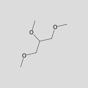 COCC(COC)OC